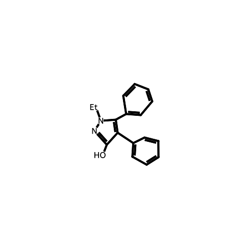 CCn1nc(O)c(-c2ccccc2)c1-c1ccccc1